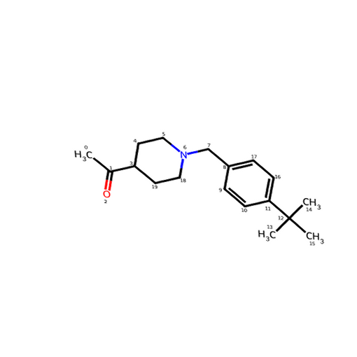 CC(=O)C1CCN(Cc2ccc(C(C)(C)C)cc2)CC1